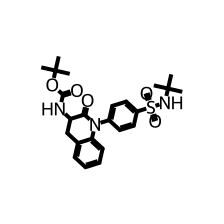 CC(C)(C)NS(=O)(=O)c1ccc(N2C(=O)C(NC(=O)OC(C)(C)C)Cc3ccccc32)cc1